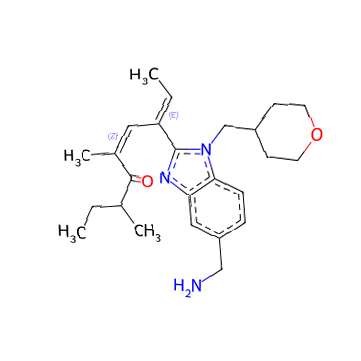 C/C=C(\C=C(\C)C(=O)C(C)CC)c1nc2cc(CN)ccc2n1CC1CCOCC1